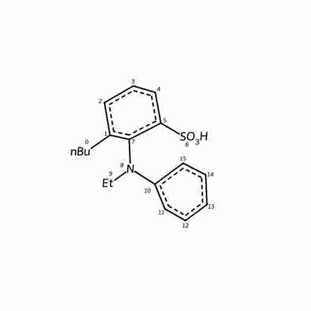 CCCCc1cccc(S(=O)(=O)O)c1N(CC)c1ccccc1